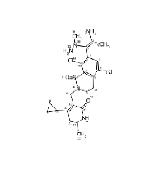 C/C(N)=C(\c1cc(Cl)c2c(c1Cl)C(=O)N(Cc1c(C3CC3)cc(C)[nH]c1=O)CC2)N(C)N